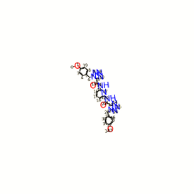 COc1ccc(Cn2nnnc2C(=O)Nc2cccc(NC(=O)c3nnnn3Cc3ccc(OC)cc3)n2)cc1